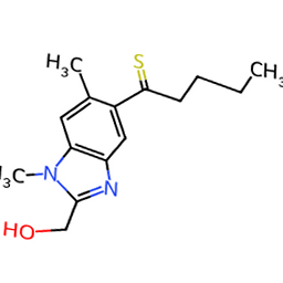 CCCCC(=S)c1cc2nc(CO)n(C)c2cc1C